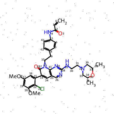 C=CC(=O)Nc1ccc(CCn2c(=O)c(-c3cc(OC)cc(OC)c3Cl)cc3cnc(NCCN4C[C@@H](C)O[C@@H](C)C4)nc32)cc1